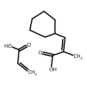 C=CC(=O)O.CC(=CC1CCCCC1)C(=O)O